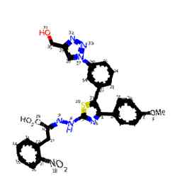 COc1ccc(-c2nc(N/N=C(\Cc3ccccc3[N+](=O)[O-])C(=O)O)sc2-c2cccc(-n3cc(CO)nn3)c2)cc1